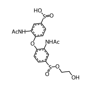 CC(=O)Nc1cc(S(=O)O)ccc1Oc1ccc(S(=O)OCCO)cc1NC(C)=O